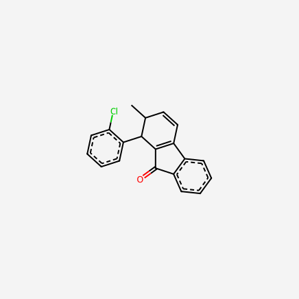 CC1C=CC2=C(C(=O)c3ccccc32)C1c1ccccc1Cl